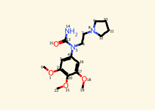 COc1cc(N(CCN2CCCC2)C(N)=O)cc(OC)c1OC